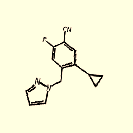 N#Cc1cc(C2CC2)c(Cn2cccn2)cc1F